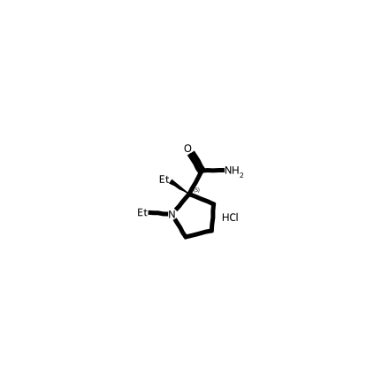 CCN1CCC[C@@]1(CC)C(N)=O.Cl